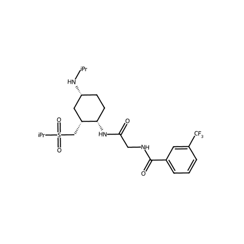 CC(C)N[C@@H]1CC[C@H](NC(=O)CNC(=O)c2cccc(C(F)(F)F)c2)[C@H](CS(=O)(=O)C(C)C)C1